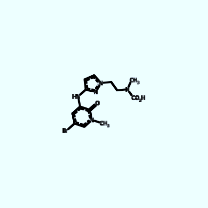 CN(CCn1ccc(Nc2cc(Br)cn(C)c2=O)n1)C(=O)O